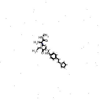 CCN1C(=O)[C@@H](CNc2ccc(CCN3CCCC3)cc2)S/C1=C(/N)C(=O)NC